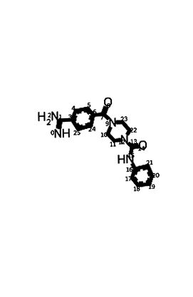 N=C(N)c1ccc(C(=O)N2CCN(C(=O)Nc3ccccc3)CC2)cc1